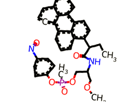 CCC(C(=O)NC(COC)COP(C)(=O)Oc1ccc(N=O)cc1)c1ccc2c3cccc4cccc(c5cccc1c52)c43